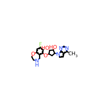 Cc1ncnc2c1ccn2C1CC(Oc2cc(F)cc3c2CNCCO3)C(O)C1O